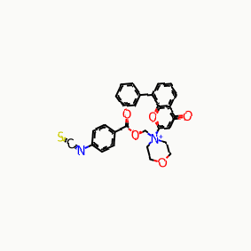 O=C(OC[N+]1(c2cc(=O)c3cccc(-c4ccccc4)c3o2)CCOCC1)c1ccc(N=C=S)cc1